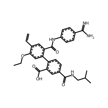 C=Cc1cc(C(=O)Nc2ccc(C(=N)N)cc2)c(-c2ccc(C(=O)NCC(C)C)cc2C(=O)O)cc1OCC